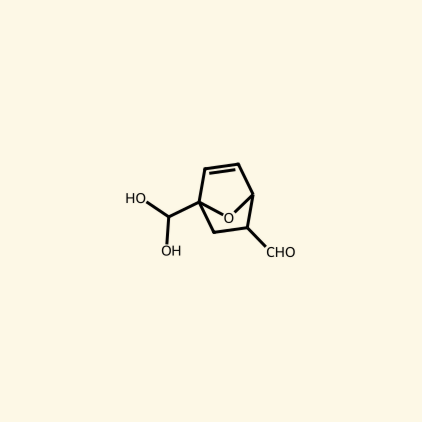 O=CC1CC2(C(O)O)C=CC1O2